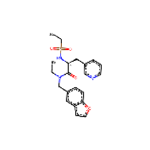 CC(C)CN(Cc1ccc2occc2c1)C(=O)[C@H](Cc1cccnc1)NS(=O)(=O)CC(C)(C)C